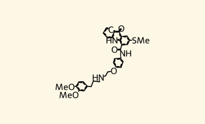 COc1ccc(CCCNCCOc2ccc(NC(=O)c3cc(SC)cc4c(=O)c5ccccc5[nH]c34)cc2)cc1OC